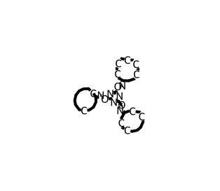 C1CCCCCCC(=NOc2nc(ON=C3CCCCCCCCCCCC3)nc(ON=C3CCCCCCCCCCCC3)n2)CCCCC1